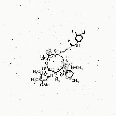 CC[C@H]1OC(=O)[C@H](C)[C@@H](O[C@@H](CCOC)O[C@@H](C)[C@@H](C)O)[C@H](C)[C@@H](O[C@@H]2O[C@H](C)C[C@H](N(C)C)[C@H]2O)[C@](C)(O)C[C@@H](C)CN(CCCNC(=S)Nc2ccc(Cl)c(Cl)c2)[C@H](C)[C@@H](O)[C@]1(C)O